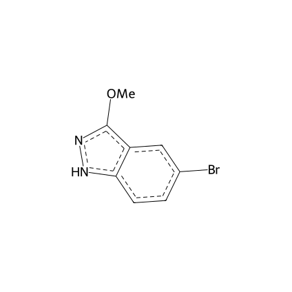 COc1n[nH]c2ccc(Br)cc12